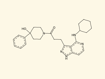 O=C(CCc1n[nH]c2ccnc(NC3CCCCC3)c12)N1CCC(O)(c2ccccc2)CC1